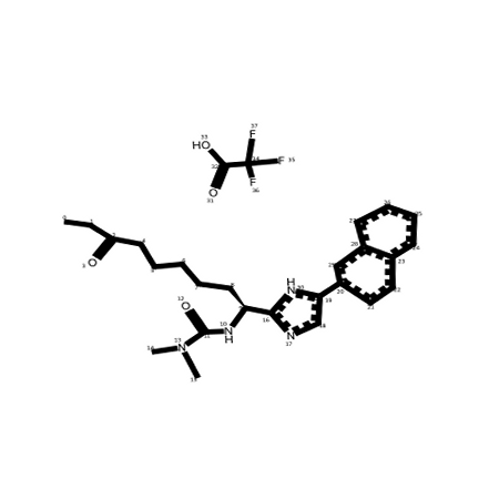 CCC(=O)CCCCC[C@H](NC(=O)N(C)C)c1ncc(-c2ccc3ccccc3c2)[nH]1.O=C(O)C(F)(F)F